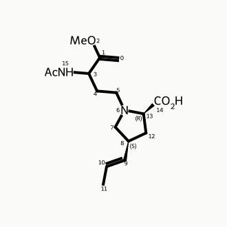 C=C(OC)C(CCN1C[C@H](C=CC)C[C@@H]1C(=O)O)NC(C)=O